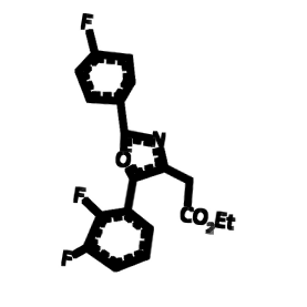 CCOC(=O)Cc1nc(-c2ccc(F)cc2)oc1-c1cccc(F)c1F